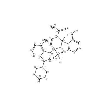 COc1ccccc1C1(F)CC(c2nn(C3CCNCC3)c3ncnc(N)c23)(C(F)(F)F)C=CC1C(N)=O